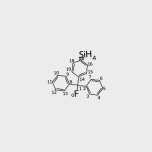 FC(c1ccccc1)(c1ccccc1)c1ccccc1.[SiH4]